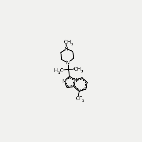 CN1CCN(C(C)(C)c2ncc3c(C(F)(F)F)cccn23)CC1